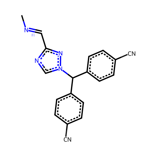 C/N=C/c1ncn(C(c2ccc(C#N)cc2)c2ccc(C#N)cc2)n1